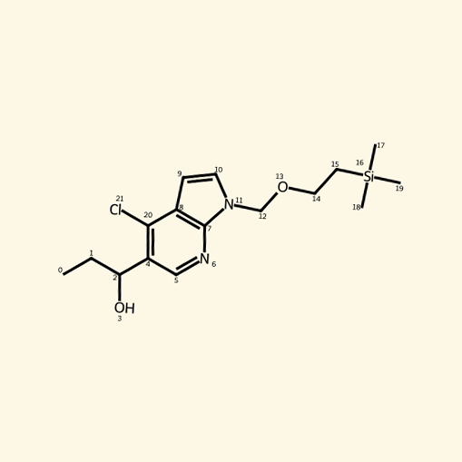 CCC(O)c1cnc2c(ccn2COCC[Si](C)(C)C)c1Cl